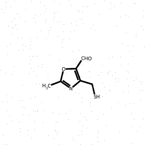 Cc1nc(CS)c(C=O)o1